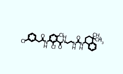 CC1(C)CCC(NC(=O)NCCNC(=O)c2c(Cl)ccc(NC(=O)Cc3cccc(Cl)c3)c2Cl)c2ccccc21